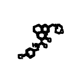 O=C(NCc1ccc(Cl)cc1)c1cc2c3c(cc(CN4CCOCC4)cn3c1=O)CCC2